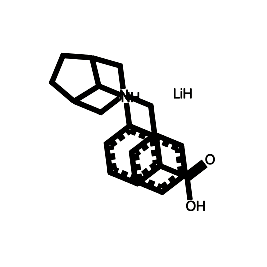 O=C(O)c1cccc(NC2C3CCC2CN(Cc2ccccc2)C3)c1.[LiH]